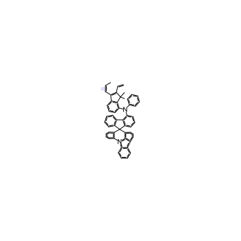 C=CC1=C(/C=C\C)c2cccc(N(c3ccccc3)c3cccc4c3-c3ccccc3C43c4ccccc4-n4c5ccccc5c5cccc3c54)c2C1(C)C